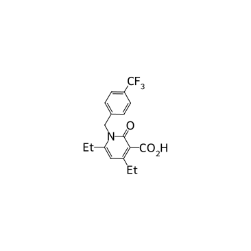 CCc1cc(CC)n(Cc2ccc(C(F)(F)F)cc2)c(=O)c1C(=O)O